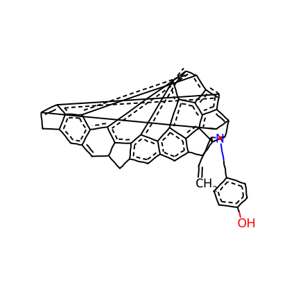 C=CC1N(c2ccc(O)cc2)CC2C3=c4c5c6c7c(cc8cc9c%10c%11c%12c%13c(cc%14c%15c(c4c4c5c5c7c8c%10c5c%12c4c%15%13)=C(C3)C%14)=CC%11C9)CC621